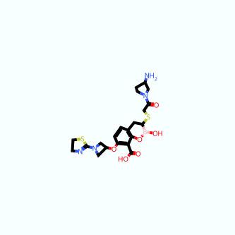 NC1CCN(C(=O)CSC2Cc3ccc(OC4CN(C5=NCCS5)C4)c(C(=O)O)c3OB2O)C1